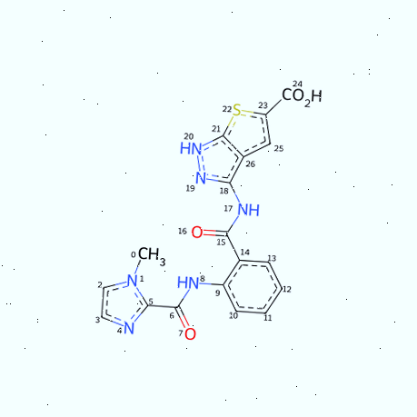 Cn1ccnc1C(=O)Nc1ccccc1C(=O)Nc1n[nH]c2sc(C(=O)O)cc12